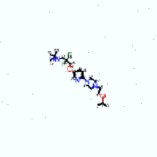 CC(C)OCCN1CCN(c2ccc(OCC(F)(F)CNC(C)(C)C)cn2)CC1